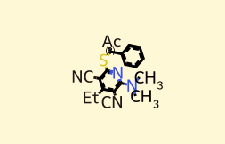 CCc1c(C#N)c(S[C@@H](C(C)=O)c2ccccc2)nc(N(C)C)c1C#N